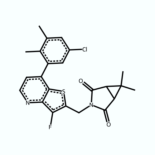 Cc1cc(Cl)cc(-c2ccnc3c(F)c(CN4C(=O)C5C(C4=O)C5(C)C)sc23)c1C